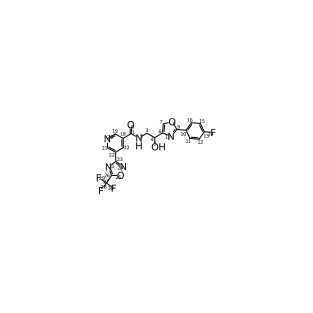 O=C(NCC(O)c1coc(-c2ccc(F)cc2)n1)c1cncc(-c2noc(C(F)(F)F)n2)c1